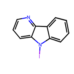 In1c2ccccc2c2ncccc21